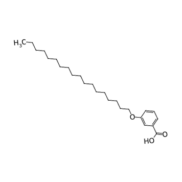 CCCCCCCCCCCCCCCCCCOc1cccc(C(=O)O)c1